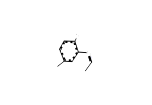 C/C=N\c1cc(C)ccc1N